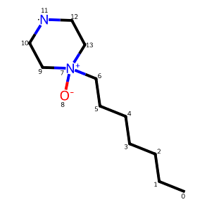 CCCCCCC[N+]1([O-])CC[N]CC1